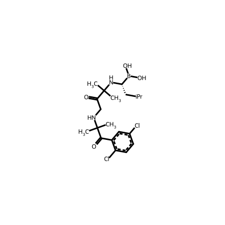 CC(C)C[C@H](NC(C)(C)C(=O)CNC(C)(C)C(=O)c1cc(Cl)ccc1Cl)B(O)O